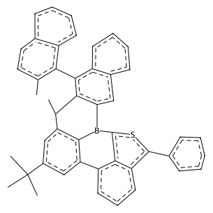 Cc1ccc2ccccc2c1-c1c2c(cc3ccccc13)B1c3c(cc(C(C)(C)C)cc3C2C)-c2cccc3c(-c4ccccc4)sc1c23